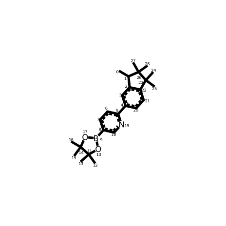 CC1c2cc(-c3ccc(B4OC(C)(C)C(C)(C)O4)cn3)ccc2C(C)(C)C1(C)C